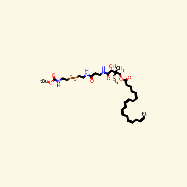 CC/C=C\C/C=C\C/C=C\C/C=C\C/C=C\CCCC(=O)OCC(C)(C)[C@@H](O)C(=O)NCCC(=O)NCCSSCCNC(=O)OC(C)(C)C